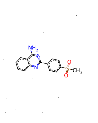 CS(=O)(=O)c1ccc(-c2nc(N)c3ccccc3n2)cc1